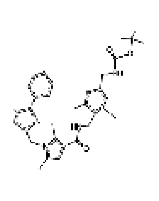 Cc1cc(CNC(=O)OC(C)(C)C)cc(C)c1CNC(=O)c1cc(C)n(Cc2csc(-c3ccccc3)n2)c1C